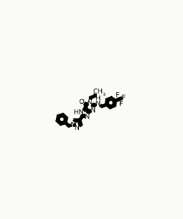 CCCn1c(NCc2ccc(C(F)(F)F)cc2)nc2nc(-c3cnn(Cc4ccccc4)c3)[nH]c2c1=O